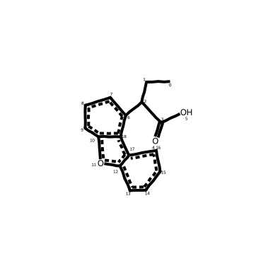 CCC(C(=O)O)c1cccc2oc3ccccc3c12